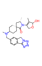 CC1=C(N2C(=O)[C@]3(CC[C@H](N(C)Cc4ccc5c(c4)Cn4nnnc4-5)CC3)C[C@@H]2C)COC1O